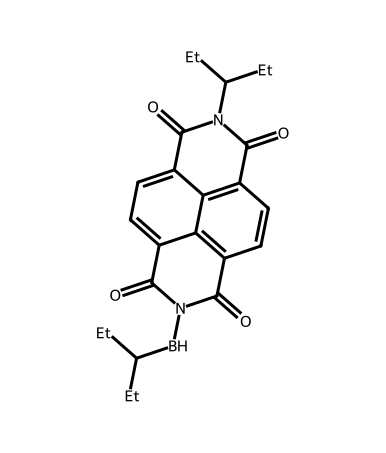 CCC(BN1C(=O)c2ccc3c4c(ccc(c24)C1=O)C(=O)N(C(CC)CC)C3=O)CC